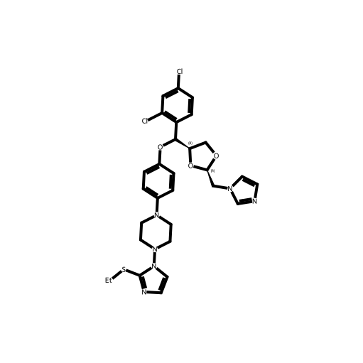 CCSc1nccn1N1CCN(c2ccc(OC(c3ccc(Cl)cc3Cl)[C@H]3CO[C@@H](Cn4ccnc4)O3)cc2)CC1